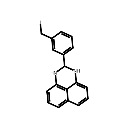 ICc1cccc(C2Nc3cccc4cccc(c34)N2)c1